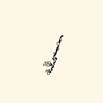 C#CCOCCOCCOCCOCCN1CCN(CCCN(CCCNC=O)C(CO)CO)CC1